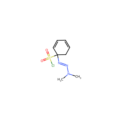 CN(C)N=NC1(S(=O)(=O)Cl)C=CC=CC1